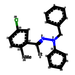 CC/C(=N\N(Cc1ccccc1)c1ccccc1)c1cc(Cl)ccc1NC